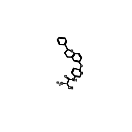 [CH2][C@H](O)C(=O)Nc1ccc(Oc2ccc3c(c2)CCC(c2ccccc2)O3)nc1